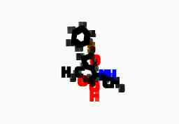 CNC(C(=O)O)[C@@H]1OC(Sc2ccccc2)C[C@H]1C